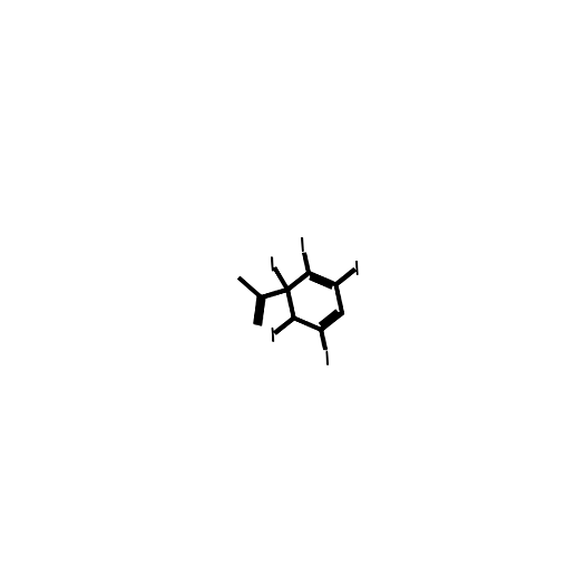 C=C(C)C1(I)C(I)=C(I)C=C(I)C1I